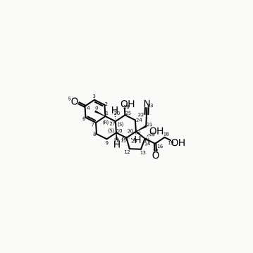 C[C@]12C=CC(=O)C=C1CC[C@H]1[C@@H]3CC[C@](O)(C(=O)CO)[C@@]3(CC#N)CC(O)[C@@H]12